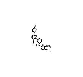 Cc1ccc(NC2CCCN(c3nc(-c4ccc(Cl)cc4)ccc3C#N)C2)nc1N